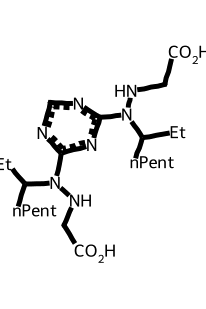 CCCCCC(CC)N(NCC(=O)O)c1ncnc(N(NCC(=O)O)C(CC)CCCCC)n1